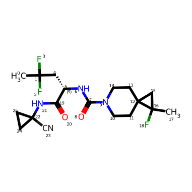 CC(F)(F)C[C@H](NC(=O)N1CCC2(CC1)CC2(C)F)C(=O)NC1(C#N)CC1